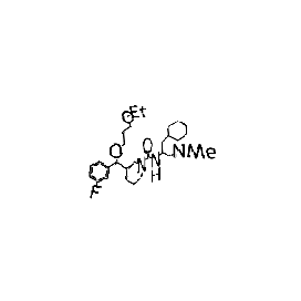 CCOCCCO[C@@H](c1cccc(F)c1)[C@@H]1CCCN(C(=O)NC(CNC)CC2CCCCC2)C1